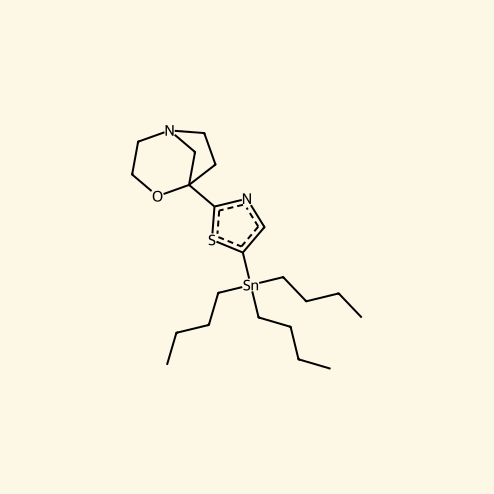 CCC[CH2][Sn]([CH2]CCC)([CH2]CCC)[c]1cnc(C23CCN(CCO2)C3)s1